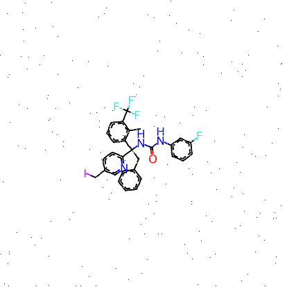 Cc1c(C(F)(F)F)cccc1[C@](Cc1ccccc1)(NC(=O)Nc1cccc(F)c1)c1ccc(CI)cn1